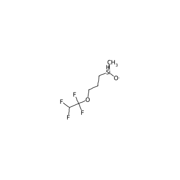 C[SiH]([O])CCCOC(F)(F)C(F)F